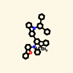 CC1(C)c2ccccc2-c2cc(-c3ccc4c5ccccc5n(-c5cc(-c6ccccc6)cc(-c6ccccc6)c5)c4c3)cc(N(c3ccccc3)c3cccc4c3oc3ccccc34)c21